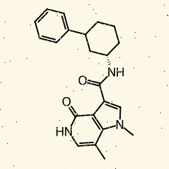 Cc1c[nH]c(=O)c2c(C(=O)N[C@H]3CCCC(c4ccccc4)C3)cn(C)c12